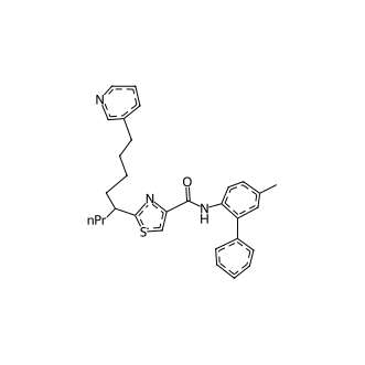 CCCC(CCCCc1cccnc1)c1nc(C(=O)Nc2ccc(C)cc2-c2ccccc2)cs1